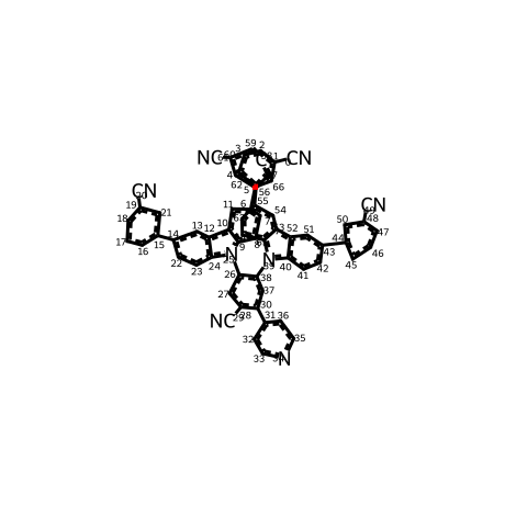 N#Cc1cccc(-c2ccc3c(c2)c2cc(-c4cccc(C#N)c4)ccc2n3-c2cc(C#N)c(-c3ccncc3)cc2-n2c3ccc(-c4cccc(C#N)c4)cc3c3cc(-c4cccc(C#N)c4)ccc32)c1